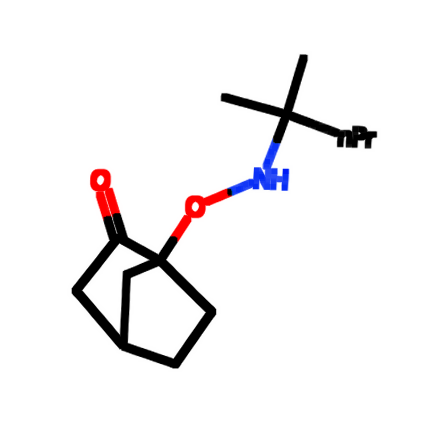 CCCC(C)(C)NOC12CCC(CC1=O)C2